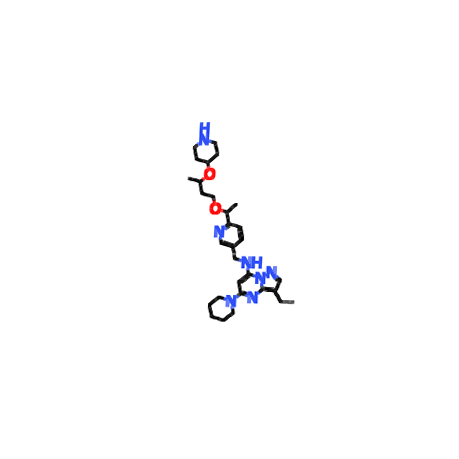 CCc1cnn2c(NCc3ccc(C(C)OCCC(C)OC4CCNCC4)nc3)cc(N3CCCCC3)nc12